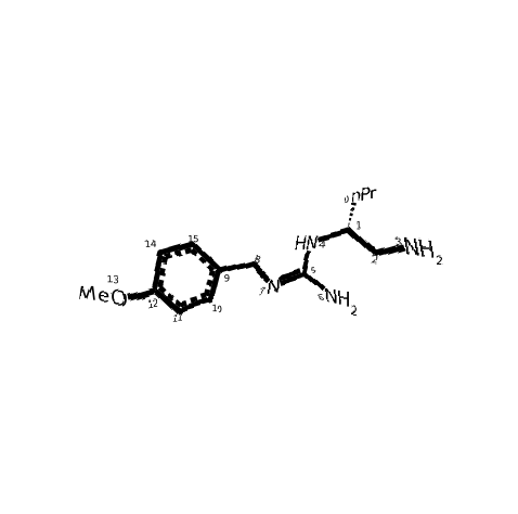 CCC[C@H](CN)NC(N)=NCc1ccc(OC)cc1